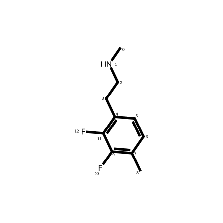 CNCCc1ccc(C)c(F)c1F